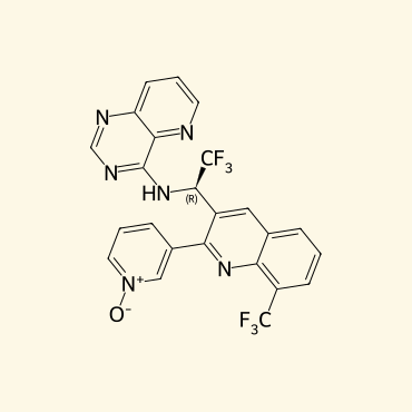 [O-][n+]1cccc(-c2nc3c(C(F)(F)F)cccc3cc2[C@@H](Nc2ncnc3cccnc23)C(F)(F)F)c1